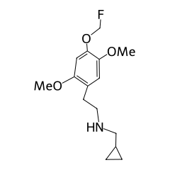 COc1cc(OCF)c(OC)cc1CCNCC1CC1